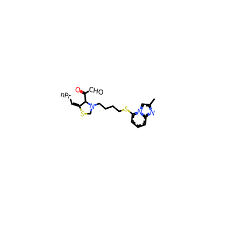 CCCC=C1SCN(CCCCSc2cccc3nc(C)cn23)C1C(=O)C=O